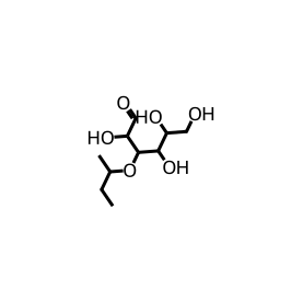 CCC(C)OC(C(O)C=O)C(O)C(O)CO